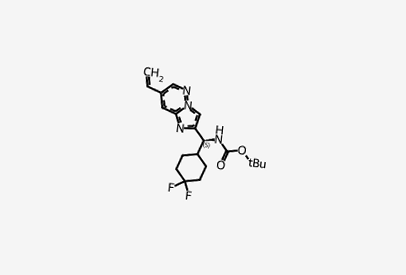 C=Cc1cnn2cc([C@@H](NC(=O)OC(C)(C)C)C3CCC(F)(F)CC3)nc2c1